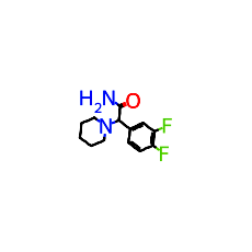 NC(=O)C(c1ccc(F)c(F)c1)N1CCCCC1